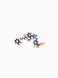 Cc1cccc(OCCCC(=O)N2CCCc3c(-c4cnn(Cc5ccc(F)c(C(=O)O)c5)c4)cccc32)c1C